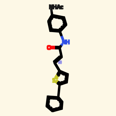 CC(=O)Nc1ccc(NC(=O)/C=C/c2ccc(-c3ccccc3)s2)cc1